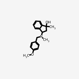 COc1ccc(CN(C)C2CC(C)(O)c3ccccc32)cc1